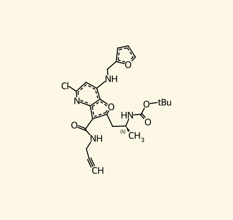 C#CCNC(=O)c1c(C[C@H](C)NC(=O)OC(C)(C)C)oc2c(NCc3ccco3)cc(Cl)nc12